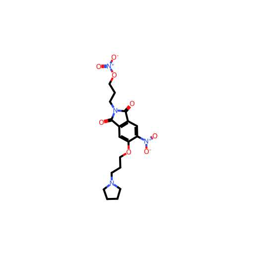 O=C1c2cc(OCCCN3CCCC3)c([N+](=O)[O-])cc2C(=O)N1CCCO[N+](=O)[O-]